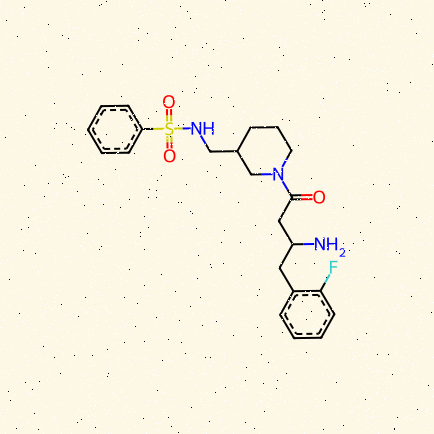 NC(CC(=O)N1CCCC(CNS(=O)(=O)c2ccccc2)C1)Cc1ccccc1F